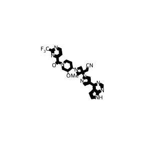 CO[C@@H]1CN(C(=O)c2ccnc(C(F)(F)F)n2)CC[C@@H]1N1CC(CC#N)(n2cc(-c3ncnc4[nH]ccc34)cn2)C1